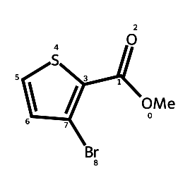 COC(=O)c1sccc1Br